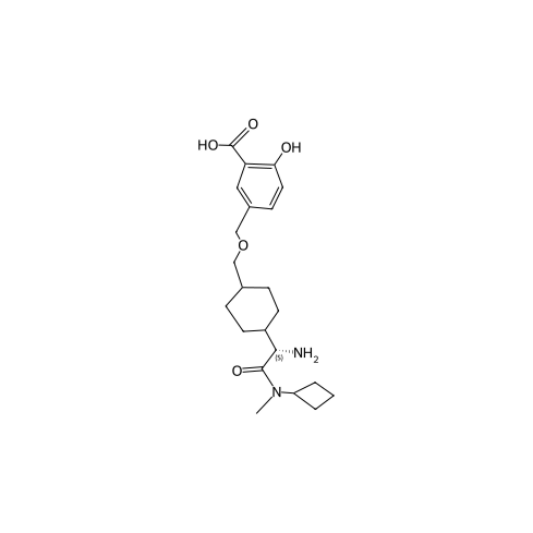 CN(C(=O)[C@@H](N)C1CCC(COCc2ccc(O)c(C(=O)O)c2)CC1)C1CCC1